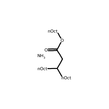 CCCCCCCCOC(=O)CC(CCCCCCCC)CCCCCCCC.N